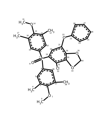 COc1c(C)cc(P(=O)(c2cc(C)c(OC)c(C)c2)c2cc(Oc3ccccc3)c3c(c2Cl)OCO3)cc1C